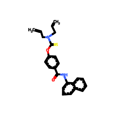 C=CCN(CC=C)C(=S)Oc1ccc(C(=O)Nc2cccc3ccccc23)cc1